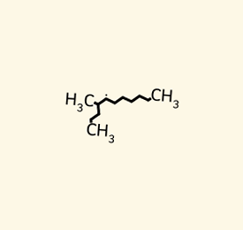 CCCCCC[CH]C(C)CCC